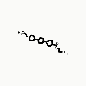 CCCOC(=O)C1=CCC(c2ccc([C@H]3CC[C@H](CCC)CC3)cc2)CC1